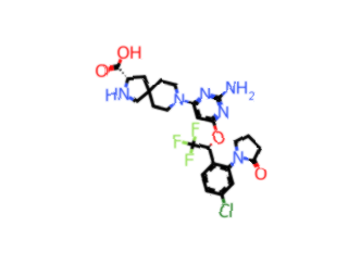 Nc1nc(O[C@H](c2ccc(Cl)cc2N2CCCC2=O)C(F)(F)F)cc(N2CCC3(CC2)CN[C@H](C(=O)O)C3)n1